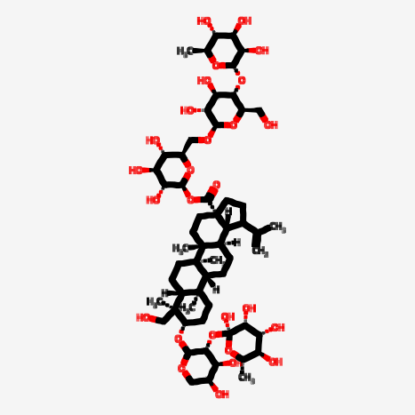 C=C(C)C1CC[C@]2(C(=O)O[C@@H]3O[C@H](CO[C@@H]4O[C@H](CO)[C@@H](O[C@@H]5O[C@@H](C)[C@H](O)[C@@H](O)[C@H]5O)[C@H](O)[C@H]4O)[C@@H](O)[C@H](O)[C@H]3O)CC[C@]3(C)[C@H](CC[C@@H]4[C@@]5(C)CC[C@H](OC6OC[C@H](O)[C@H](O)[C@H]6O[C@]6(O)O[C@@H](C)[C@H](O)[C@@H](O)[C@H]6O)[C@@](C)(CO)[C@@H]5CC[C@]43C)[C@@H]12